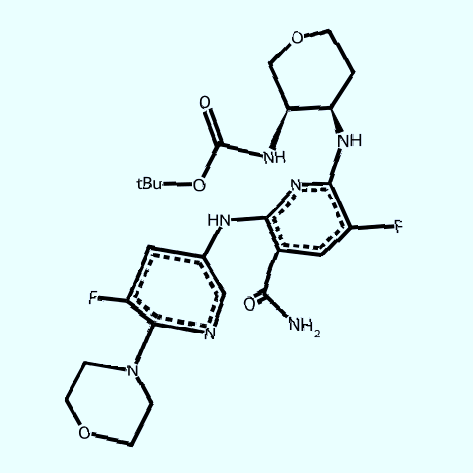 CC(C)(C)OC(=O)N[C@H]1COCC[C@H]1Nc1nc(Nc2cnc(N3CCOCC3)c(F)c2)c(C(N)=O)cc1F